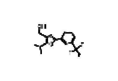 CC(C)c1oc(C2=CC(C(F)(F)F)=CCC2)nc1CO